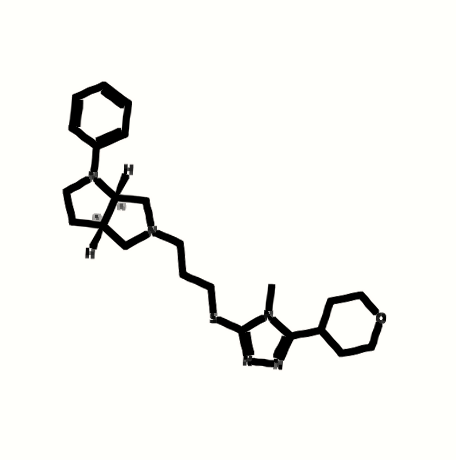 Cn1c(SCCCN2C[C@@H]3CCN(c4ccccc4)[C@@H]3C2)nnc1C1CCOCC1